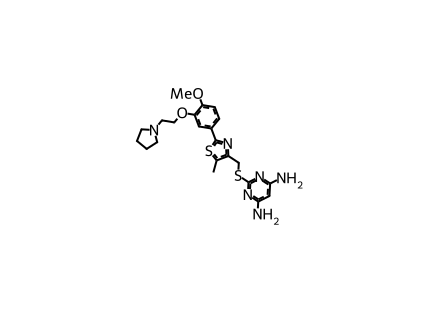 COc1ccc(-c2nc(CSc3nc(N)cc(N)n3)c(C)s2)cc1OCCN1CCCC1